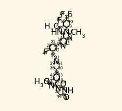 Cc1nc(N[C@H](C)c2cccc(C(F)F)c2F)c2cc(-c3ccc(F)c(CCN4CCC(c5ccc6c(N7CCC(=O)NC7=O)nn(C)c6c5)CC4)c3)ncc2n1